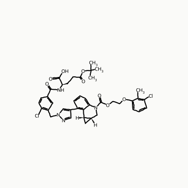 Cc1c(Cl)cccc1OCCOC(=O)N1C[C@@H]2C[C@@H]2c2c(-c3cnn(Cc4cc(C(=O)N[C@H](CCC(=O)OC(C)(C)C)C(=O)O)ccc4Cl)c3)cccc21